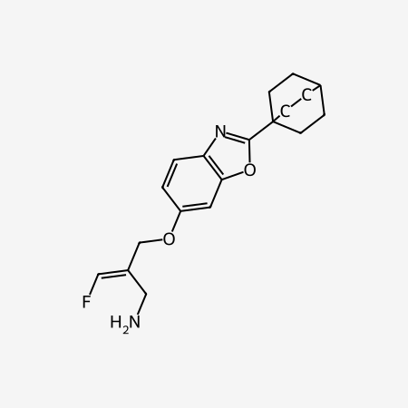 NC/C(=C\F)COc1ccc2nc(C34CCC(CC3)CC4)oc2c1